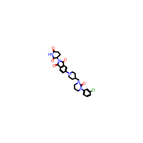 O=C1CCC(N2C(=O)c3ccc(N4CCC(CN5CCCN(c6cccc(Cl)c6)C5=O)CC4)cc3C2=O)C(=O)N1